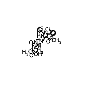 COC(=O)C1=C(CN2CCN3C(=O)N(CC(C)(C)C(=O)O)C[C@@H]3C2)NC(c2nccs2)=N[C@H]1c1ccccc1Cl